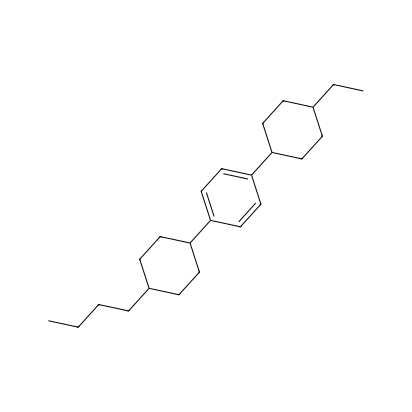 CCCCC1CCC(c2ccc(C3CCC(CC)CC3)cc2)CC1